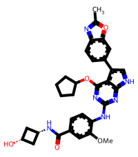 COc1cc(C(=O)N[C@H]2C[C@@H](O)C2)ccc1Nc1nc(OC2CCCC2)c2c(-c3ccc4nc(C)oc4c3)c[nH]c2n1